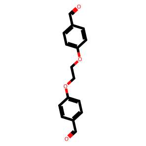 O=Cc1ccc(OCCOc2ccc(C=O)cc2)cc1